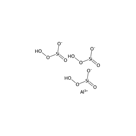 O=[Si]([O-])OO.O=[Si]([O-])OO.O=[Si]([O-])OO.[Al+3]